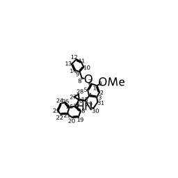 COc1cc2c(cc1OCc1ccccc1)C(C1(c3cccc4ccccc34)CC1)NCC2